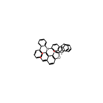 C1=CC2Sc3cc(N(c4ccccc4-c4ccccc4)c4cccc5ccc6oc(-c7ccccc7)nc6c45)ccc3C2C=C1